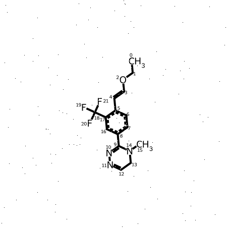 CCO/C=C/c1ccc(C2=NN=CCN2C)cc1C(F)(F)F